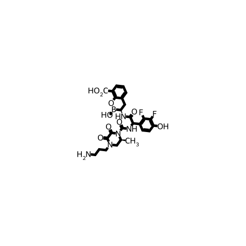 C[C@H]1CN(CCCN)C(=O)C(=O)N1C(=O)NC(C(=O)N[C@H]1Cc2cccc(C(=O)O)c2OB1O)c1ccc(O)c(F)c1F